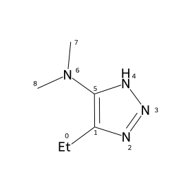 CCc1nn[nH]c1N(C)C